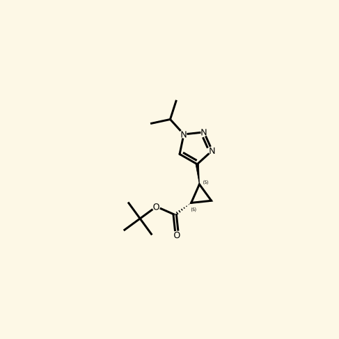 CC(C)n1cc([C@H]2C[C@@H]2C(=O)OC(C)(C)C)nn1